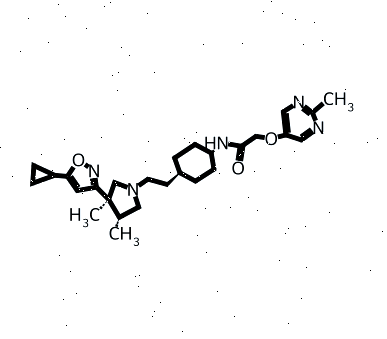 Cc1ncc(OCC(=O)N[C@H]2CC[C@H](CCN3C[C@H](C)[C@@](C)(c4cc(C5CC5)on4)C3)CC2)cn1